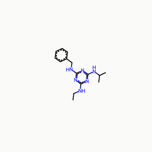 CCNc1nc(NCc2ccccc2)nc(NC(C)C)n1